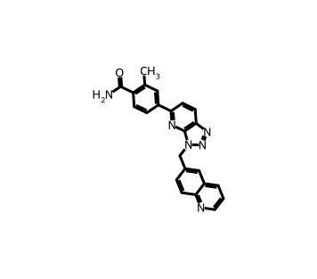 Cc1cc(-c2ccc3nnn(Cc4ccc5ncccc5c4)c3n2)ccc1C(N)=O